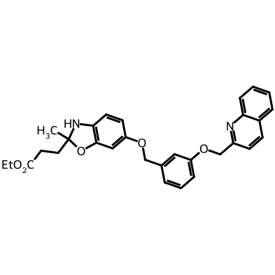 CCOC(=O)CCC1(C)Nc2ccc(OCc3cccc(OCc4ccc5ccccc5n4)c3)cc2O1